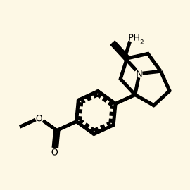 C=C1CC2CCC(c3ccc(C(=O)OC)cc3)(C1)N2CP